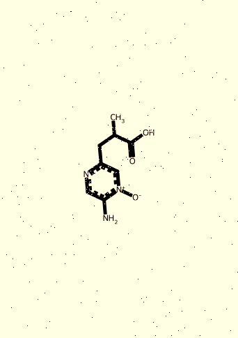 CC(Cc1c[n+]([O-])c(N)cn1)C(=O)O